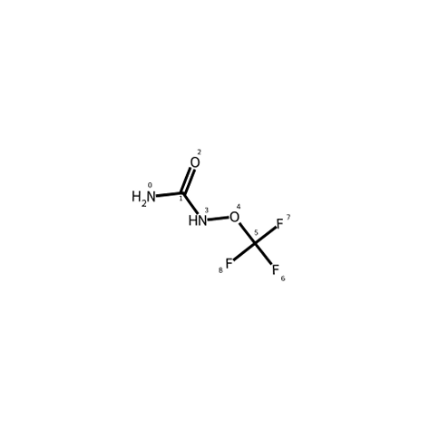 NC(=O)NOC(F)(F)F